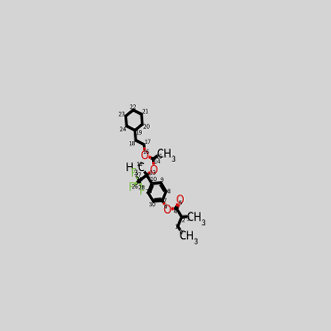 CCC(C)C(=O)Oc1ccc(C(C)(OC(C)OCCC2CCCCC2)C(F)(F)F)cc1